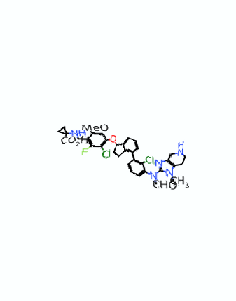 COc1cc(OC2CCc3c(-c4cccc(N(C=O)c5nc6c(n5C)CCNC6)c4Cl)cccc32)c(Cl)c(F)c1CNC1(C(=O)O)CC1